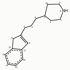 C1=C(CCCC2CCNCC2)Cc2ccccc21